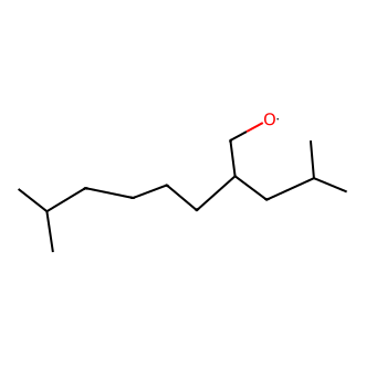 CC(C)CCCCC(C[O])CC(C)C